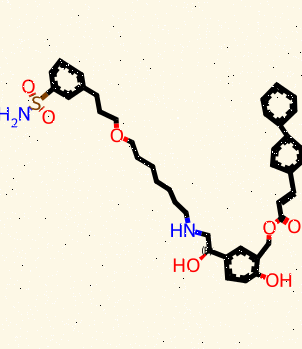 NS(=O)(=O)c1cccc(CCCOCCCCCCCNC[C@H](O)c2ccc(O)c(COC(=O)C=Cc3ccc(-c4ccccc4)cc3)c2)c1